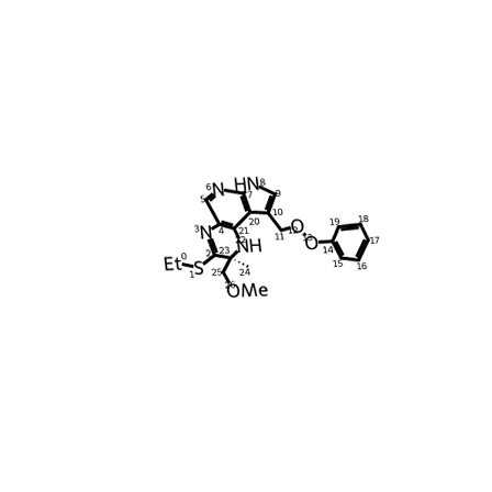 CCSC1=Nc2cnc3[nH]cc(COOc4ccccc4)c3c2N[C@@]1(C)COC